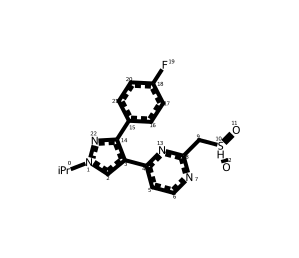 CC(C)n1cc(-c2ccnc(C[SH](=O)=O)n2)c(-c2ccc(F)cc2)n1